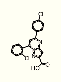 O=C(O)c1cc2nc(-c3ccc(Cl)cc3)cc(-c3ccccc3Cl)n2n1